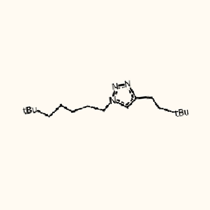 CC(C)(C)CCCCCn1cc(CCC(C)(C)C)nn1